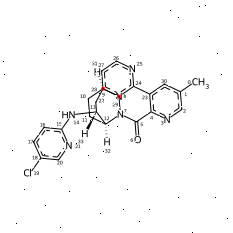 Cc1cnc(C(=O)N2C[C@@H]3CC[C@H]2[C@H](Nc2ccc(Cl)cn2)C3)c(-c2ncccn2)c1